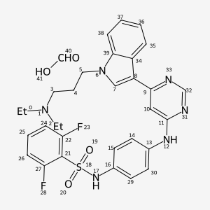 CCN(CC)CCCn1cc(-c2cc(Nc3ccc(NS(=O)(=O)c4c(F)cccc4F)cc3)ncn2)c2ccccc21.O=CO